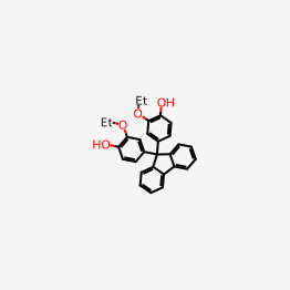 CCOc1cc(C2(c3ccc(O)c(OCC)c3)c3ccccc3-c3ccccc32)ccc1O